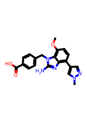 COc1ccc(-c2cnn(C)c2)c2nc(N)n(Cc3ccc(C(=O)O)cc3)c12